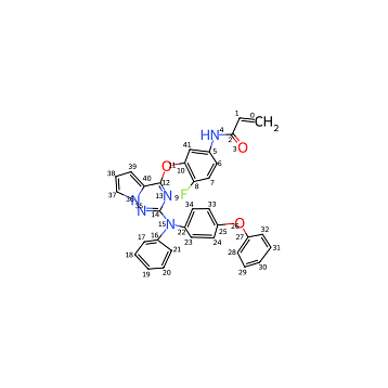 C=CC(=O)Nc1ccc(F)c(Oc2nc(N(c3ccccc3)c3ccc(Oc4ccccc4)cc3)nn3cccc23)c1